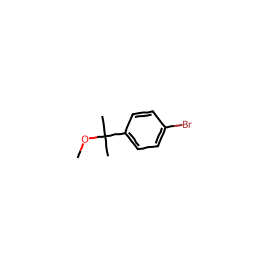 COC(C)(C)c1ccc(Br)cc1